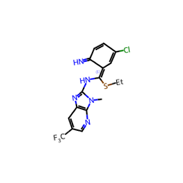 CCS/C(Nc1nc2cc(C(F)(F)F)cnc2n1C)=C1\C=C(Cl)C=CC1=N